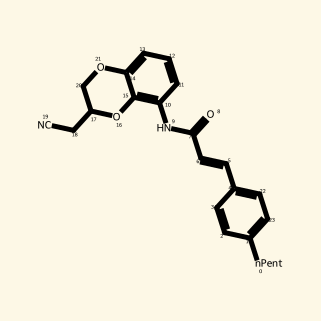 CCCCCc1ccc(C=CC(=O)Nc2cccc3c2OC(CC#N)CO3)cc1